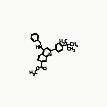 COC(=O)c1ccc2c(NCc3ccccc3)cc(-c3ccc(C(C)(C)C)cc3)nc2c1